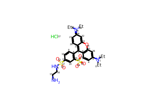 CCN(CC)c1ccc2c(-c3ccc(S(=O)(=O)NCCN)cc3S(=O)(=O)[O-])c3ccc(=[N+](CC)CC)cc-3oc2c1.Cl